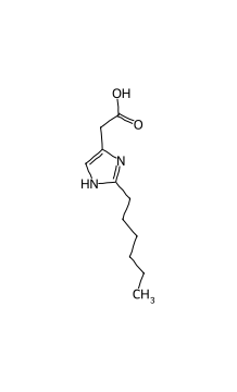 CCCCCCc1nc(CC(=O)O)c[nH]1